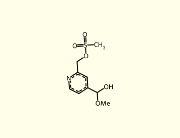 COC(O)c1ccnc(COS(C)(=O)=O)c1